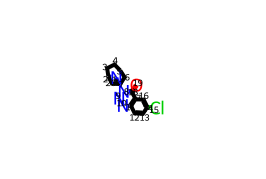 CN1C2CCC1CC(n1nnc3ccc(Cl)cc3c1=O)C2